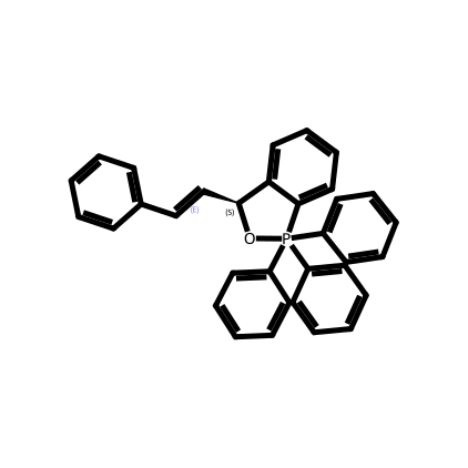 C(=C\[C@@H]1OP(c2ccccc2)(c2ccccc2)(c2ccccc2)c2ccccc21)/c1ccccc1